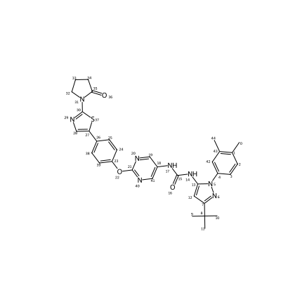 Cc1ccc(-n2nc(C(C)(C)C)cc2NC(=O)Nc2cnc(Oc3ccc(-c4cnc(N5CCCC5=O)s4)cc3)nc2)cc1C